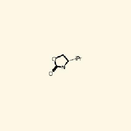 CC(C)[C@H]1COC(=O)[N]1